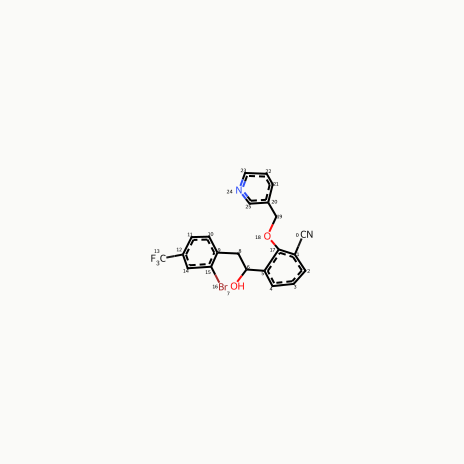 N#Cc1cccc(C(O)Cc2ccc(C(F)(F)F)cc2Br)c1OCc1cccnc1